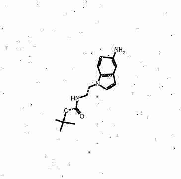 CC(C)(C)OC(=O)NCCn1ccc2cc(N)ccc21